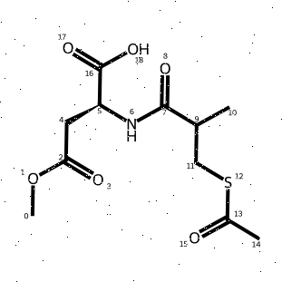 COC(=O)C[C@H](NC(=O)C(C)CSC(C)=O)C(=O)O